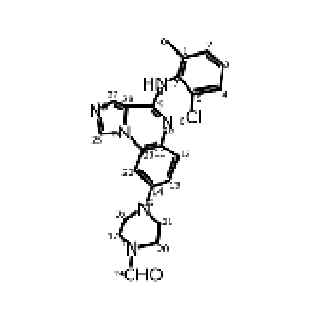 Cc1cccc(Cl)c1Nc1nc2ccc(N3CCN(C=O)CC3)cc2n2cncc12